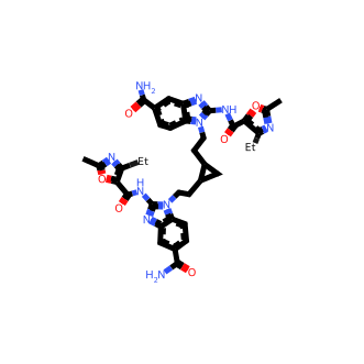 CCc1nc(C)oc1C(=O)Nc1nc2cc(C(N)=O)ccc2n1CCC1CC1CCn1c(NC(=O)c2oc(C)nc2CC)nc2cc(C(N)=O)ccc21